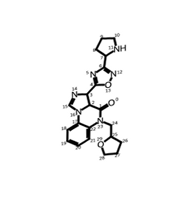 O=C1C2C(c3nc(C4CCCN4)no3)N=CN2c2ccccc2N1CC1CCCO1